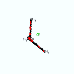 CCCCCCCCCCCCCCCCCCCCCCOCC(C[N+](C)(C)C)OCCCCCCCCCCCCCCCCCCCCCC.[Cl-]